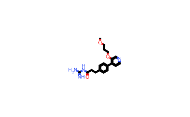 COCCCOc1cnccc1-c1ccc(CCC(=O)NC(=N)N)cc1